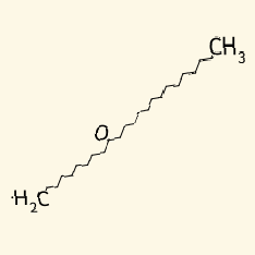 [CH2]CCCCCCCCC(=O)CCCCCCCCCCCCCC